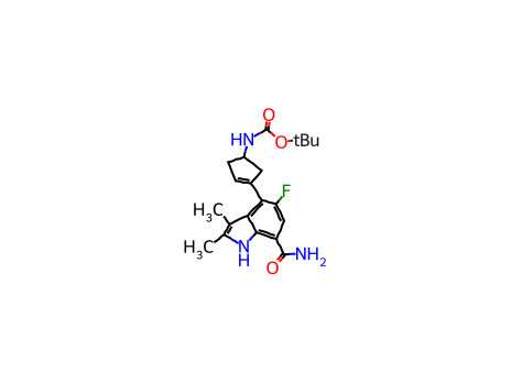 Cc1[nH]c2c(C(N)=O)cc(F)c(C3=CCC(NC(=O)OC(C)(C)C)C3)c2c1C